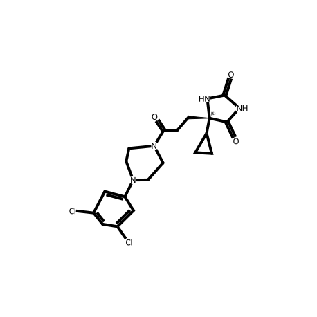 O=C1NC(=O)[C@](CCC(=O)N2CCN(c3cc(Cl)cc(Cl)c3)CC2)(C2CC2)N1